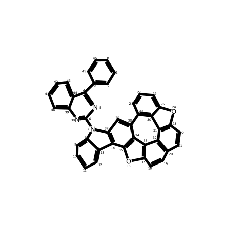 c1ccc(-c2nc(-n3c4ccccc4c4c5oc6ccc7ccc8oc9cccc%10c9c8c7c6c5c-%10cc43)nc3ccccc23)cc1